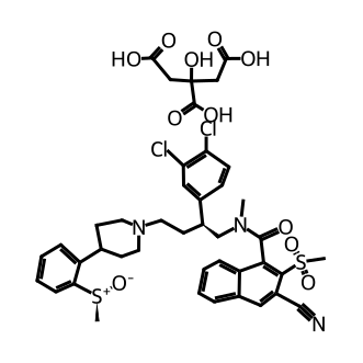 CN(C[C@@H](CCN1CCC(c2ccccc2[S@+](C)[O-])CC1)c1ccc(Cl)c(Cl)c1)C(=O)c1c(S(C)(=O)=O)c(C#N)cc2ccccc12.O=C(O)CC(O)(CC(=O)O)C(=O)O